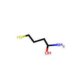 NC(O)CCCS